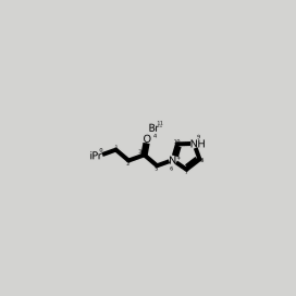 CC(C)CCC(=O)C[n+]1cc[nH]c1.[Br-]